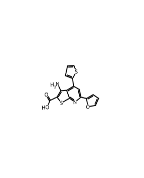 Nc1c(C(=O)O)sc2nc(-c3ccco3)cc(-c3cccs3)c12